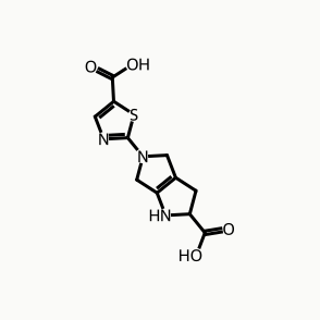 O=C(O)c1cnc(N2CC3=C(C2)NC(C(=O)O)C3)s1